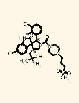 CC(C)(C)C[C@@H]1CN(C(=O)N2CCN(CCCS(C)(=O)=O)CC2)[C@H](c2cccc(Cl)c2F)C12C(=O)Nc1cc(Cl)ccc12